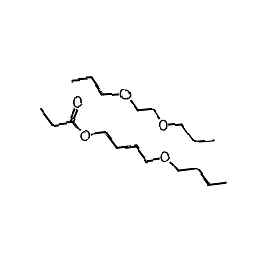 CCCCOCCCCOC(=O)CC.CCCOCCOCCC